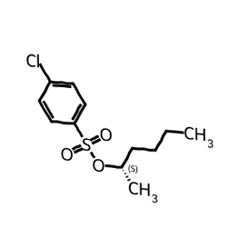 CCCC[C@H](C)OS(=O)(=O)c1ccc(Cl)cc1